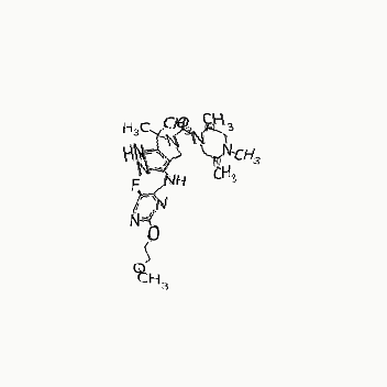 COCCOc1ncc(F)c(Nc2n[nH]c3c2CN(C(=O)N2C[C@@H](C)N(C)C[C@@H]2C)C3(C)C)n1